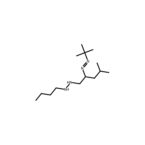 CCCCNNCC(CC(C)C)N=NC(C)(C)C